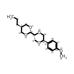 CCC[C@H]1CO[C@H]([C@H]2CO[C@H](c3ccc(OC)cc3)CO2)OC1